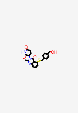 Cc1nc2cccc(SCc3ccc(CO)cc3)c2c(=O)n1C1CCC(=O)NC1=O